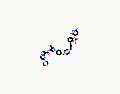 Cn1c(=O)n([C@H]2CCC(=O)NC2=O)c2cccc(C#CCN3CCN(C[C@H]4CC[C@H](n5cc(NC(=O)c6cnn7ccc(N8CCOCC8)nc67)c(C(F)F)n5)CC4)CC3)c21